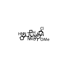 COC(c1ncc(Cl)cn1)C(C)S(=O)(=O)Nc1nnc(-c2n[nH]c3c2CCC3)n1C1(C)CCC1